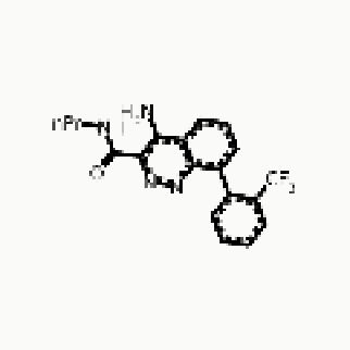 CCCNC(=O)c1nnc2c(-c3ccccc3C(F)(F)F)cccc2c1N